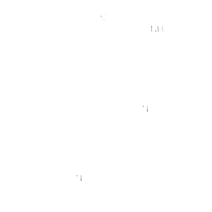 CC1=CC(=O)C(N)=C(C)C1=Nc1ccc(N(C)C)cc1C